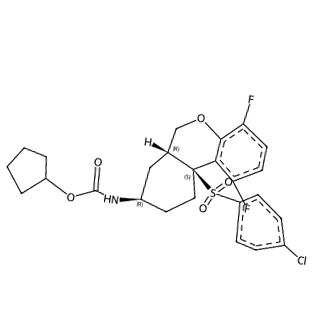 O=C(N[C@@H]1CC[C@@]2(S(=O)(=O)c3ccc(Cl)cc3)c3c(F)ccc(F)c3OC[C@H]2C1)OC1CCCC1